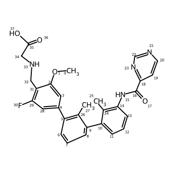 COc1cc(-c2cccc(-c3cccc(NC(=O)c4ccncn4)c3C)c2C)cc(F)c1CNCC(=O)O